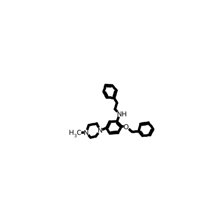 CN1CCN(c2ccc(OCc3ccccc3)c(NCCc3ccccc3)c2)CC1